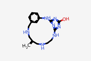 C=C1CNCCNc2nc(O)nc(n2)Nc2cccc(c2)CNC1